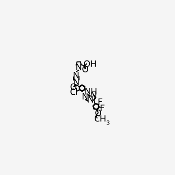 CCOc1ccc(-c2cnc3c(Nc4ccc(C(=O)N5CCN(CCN6CCCC6C(=O)O)CC5)c(Cl)c4)nccn23)c(F)c1F